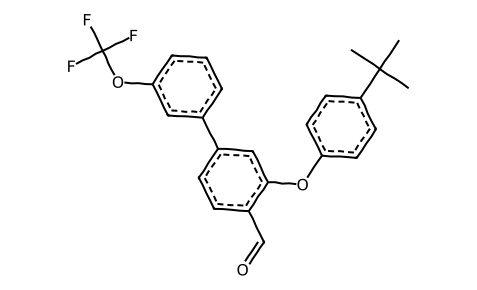 CC(C)(C)c1ccc(Oc2cc(-c3cccc(OC(F)(F)F)c3)ccc2C=O)cc1